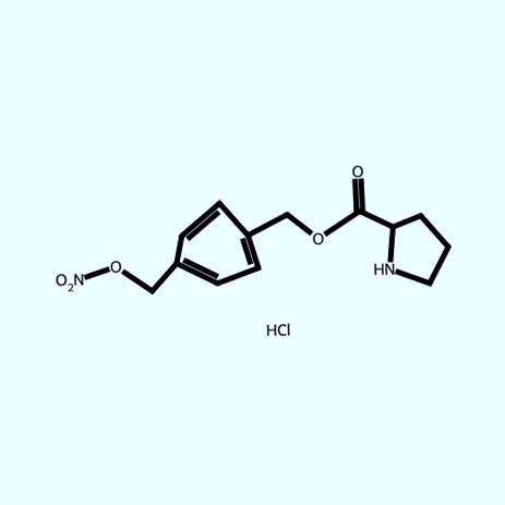 Cl.O=C(OCc1ccc(CO[N+](=O)[O-])cc1)C1CCCN1